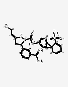 N=C(N)c1cccc(C2CC(=CCO)ON2C(=O)Nc2cnc3c(c2)C32CC=CC=C2S(N)(=O)=O)c1